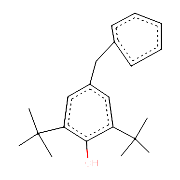 CC(C)(C)c1cc(Cc2ccccc2)cc(C(C)(C)C)c1O